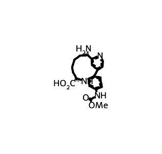 COC(=O)Nc1ccc2c(c1)N[C@@H](C(=O)O)CCCC[C@H](N)c1cc-2ccn1